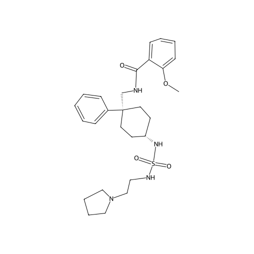 COc1ccccc1C(=O)NC[C@]1(c2ccccc2)CC[C@H](NS(=O)(=O)NCCN2CCCC2)CC1